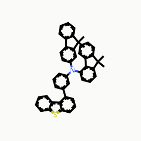 CC1(C)c2ccccc2-c2ccc(N(c3cccc(-c4cccc5sc6ccccc6c45)c3)c3cccc4c3-c3ccccc3C4(C)C)cc21